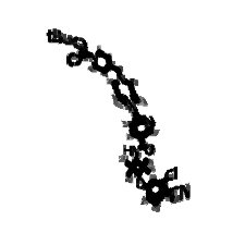 CC(C)(C)OC(=O)N1CCC(CN2CCN(c3ccc(C(=O)N[C@H]4C(C)(C)[C@H](Oc5ccc(C#N)c(Cl)c5)C4(C)C)cn3)CC2)CC1